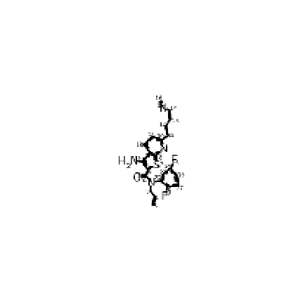 C=CCN(C(=O)c1sc2nc(/C=C/C=C\N=C)ccc2c1N)c1cc(F)ccc1F